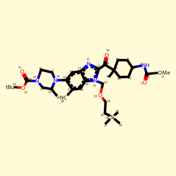 COC(=O)NC1CCC(C)(C(=O)c2nc3cc(N4CCN(C(=O)OC(C)(C)C)CC4C)c(C#N)cc3n2COCC[Si](C)(C)C)CC1